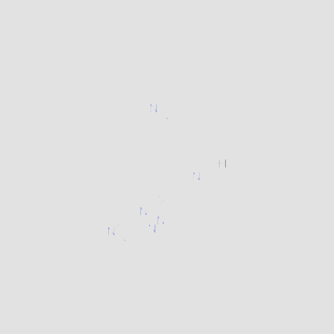 Cc1nc(C)c(-c2ccc([C@]34C[C@H]3CN(CCCSc3nnc(-c5ocnc5C)n3C)C4)cc2)s1